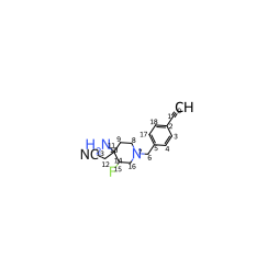 C#Cc1ccc(CN2CCC(N)(CC#N)C(F)C2)cc1